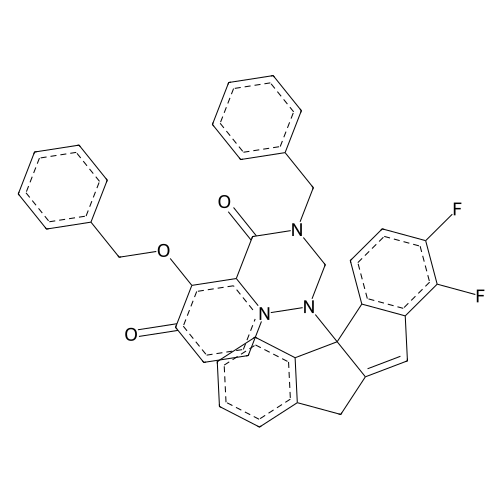 O=C1c2c(OCc3ccccc3)c(=O)ccn2N(C23C(=Cc4c2ccc(F)c4F)Cc2ccccc23)CN1Cc1ccccc1